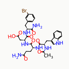 CC(=O)N[C@H](Cc1c[nH]c2ccccc12)C(=O)N[C@@H](CCC(N)=O)C(=O)N[C@@H](CC(=O)O)C(=O)N[C@@H](Cc1cccc(Br)c1)C(N)=O